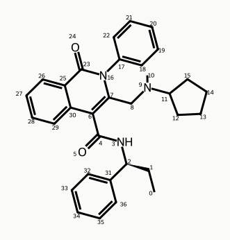 CC[C@H](NC(=O)c1c(CN(C)C2CCCC2)n(-c2ccccc2)c(=O)c2ccccc12)c1ccccc1